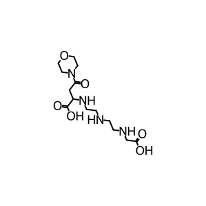 O=C(O)CNCCNCCNC(CC(=O)N1CCOCC1)C(=O)O